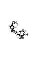 Cc1csc(OCCC2(C(C)(C)C)CNCCN2C(=O)O)c1